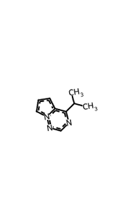 CC(C)c1ncnn2cccc12